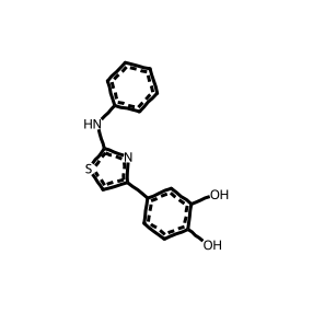 Oc1ccc(-c2csc(Nc3ccccc3)n2)cc1O